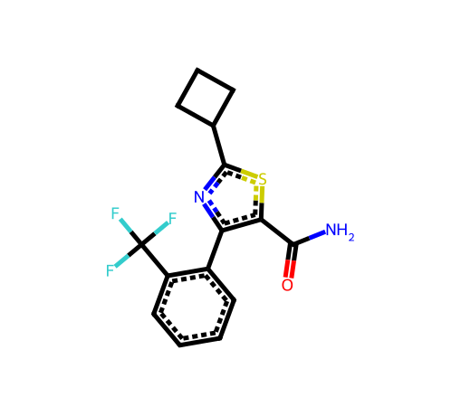 NC(=O)c1sc(C2CCC2)nc1-c1ccccc1C(F)(F)F